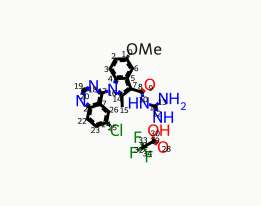 COc1ccc2c(c1)c(C(=O)NC(=N)N)c(C)n2-c1ncnc2ccc(Cl)cc12.O=C(O)C(F)(F)F